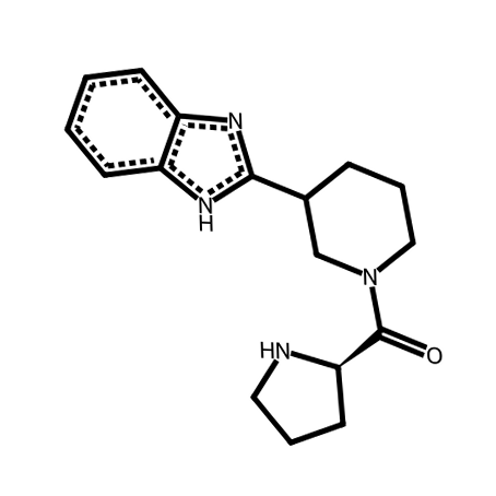 O=C([C@H]1CCCN1)N1CCCC(c2nc3ccccc3[nH]2)C1